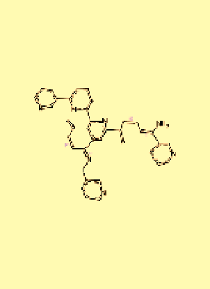 C=C/C=C\C(=N/Cc1cccnc1)c1cc(C(=C)/C=C\C=C(/N)c2cccnc2)nc(-c2cccc(-c3cccnc3)n2)c1